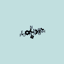 CC(C)NS(=O)(=O)c1cnc(-c2c(C#N)c3ccc(OC(F)F)cc3n2C2CCC2)nc1